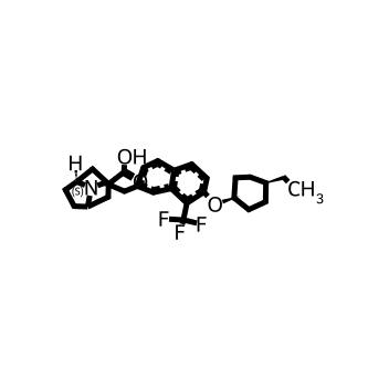 CC[C@H]1CC[C@@H](Oc2ccc3ccc(CCN4C5CC[C@H]4CC(C(=O)O)C5)cc3c2C(F)(F)F)CC1